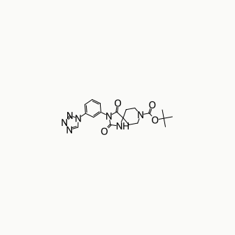 CC(C)(C)OC(=O)N1CCC2(CC1)NC(=O)N(c1cccc(-n3cnnn3)c1)C2=O